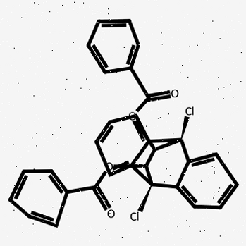 O=C(OC1C(OC(=O)c2ccccc2)[C@]2(Cl)c3ccccc3[C@@]1(Cl)c1ccccc12)c1ccccc1